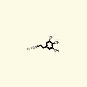 CCCCCCCCCc1cc(O)c(O)c(O)c1